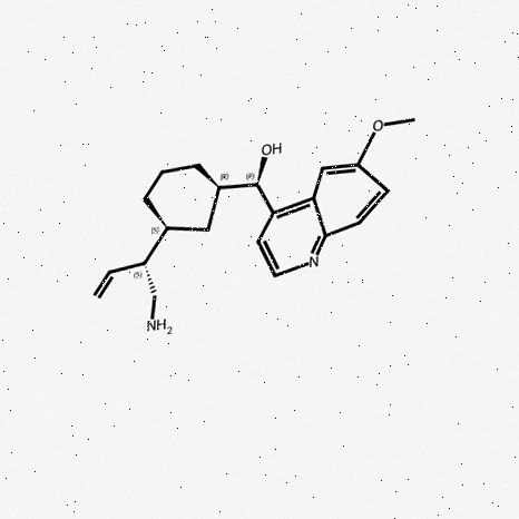 C=C[C@@H](CN)[C@H]1CCC[C@@H]([C@@H](O)c2ccnc3ccc(OC)cc23)C1